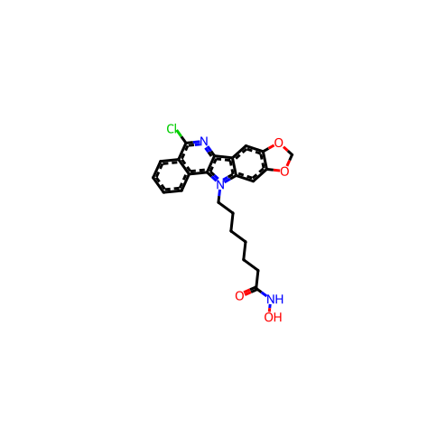 O=C(CCCCCCn1c2cc3c(cc2c2nc(Cl)c4ccccc4c21)OCO3)NO